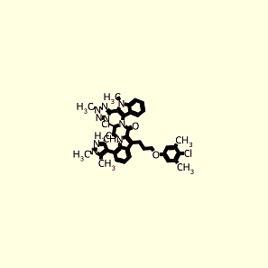 Cc1cc(OCCCc2c3n(c4c(-c5c(C)nn(C)c5C)cccc24)C(C)[C@@H](Cl)N(c2c(-c4nnn(C)n4)n(C)c4ccccc24)C3=O)cc(C)c1Cl